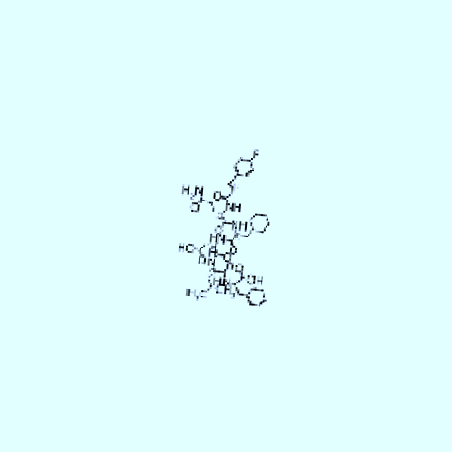 CC(C)C[C@H](NC(=O)[C@H](CC(=O)O)NC(=O)[C@H](CC1CCCCC1)NC(=O)[C@H](CCC(N)=O)NC(=O)/C=C/c1ccc(F)cc1)C(=O)NC(Cc1ccccc1)C(=O)O